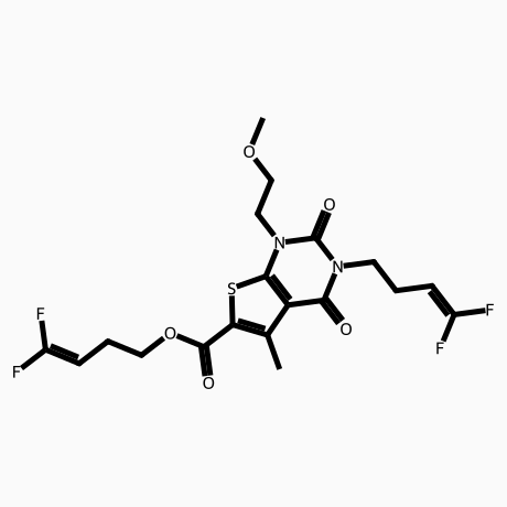 COCCn1c(=O)n(CCC=C(F)F)c(=O)c2c(C)c(C(=O)OCCC=C(F)F)sc21